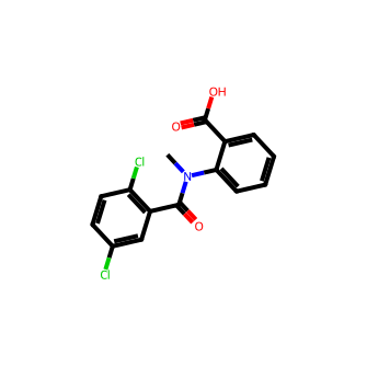 CN(C(=O)c1cc(Cl)ccc1Cl)c1ccccc1C(=O)O